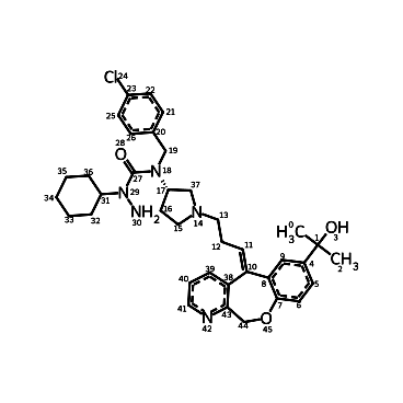 CC(C)(O)c1ccc2c(c1)/C(=C/CCN1CC[C@H](N(Cc3ccc(Cl)cc3)C(=O)N(N)C3CCCCC3)C1)c1cccnc1CO2